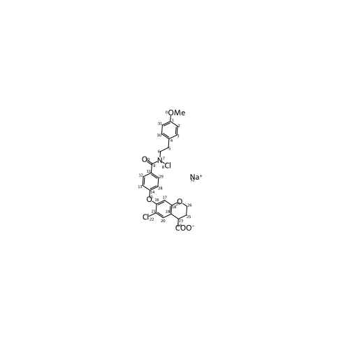 COc1ccc(CCN(Cl)C(=O)c2ccc(Oc3cc4c(cc3Cl)C(C(=O)[O-])CCO4)cc2)cc1.[Na+]